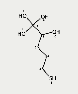 OC(CCCS)C(O)(O)O